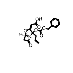 C=CCC1(OC(=O)OCc2ccccc2)C(=CC(=O)O)O[C@@H]2CC(=O)N21